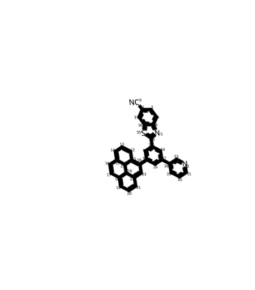 N#Cc1ccc2nc(-c3cc(C4=C5C=CC=C6C=CC7=CC=CC(=C4)C7C65)cc(-c4cccnc4)c3)sc2c1